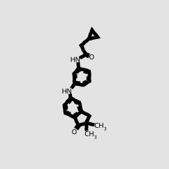 CC1(C)Cc2cc(Nc3cccc(NC(=O)CC4CC4)c3)ccc2C1=O